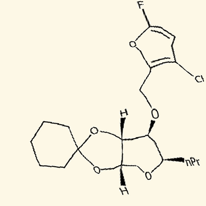 CCC[C@H]1O[C@@H]2OC3(CCCCC3)O[C@@H]2[C@H]1OCc1oc(F)cc1C